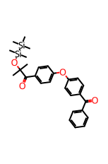 CC(C)(O[Si](C)(C)[Si](C)(C)C)C(=O)c1ccc(Oc2ccc(C(=O)c3ccccc3)cc2)cc1